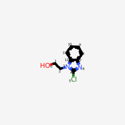 OCCn1c(Cl)nc2ccccc21